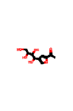 CC(=O)c1cc(C(O)C(O)C(O)CO)co1